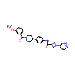 O=C(Nc1ccc(C2CCN(C(=O)c3cccc(OC(F)(F)F)c3)CC2)cc1)C1CN(c2ccnnc2)C1